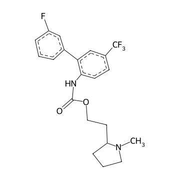 CN1CCCC1CCOC(=O)Nc1ccc(C(F)(F)F)cc1-c1cccc(F)c1